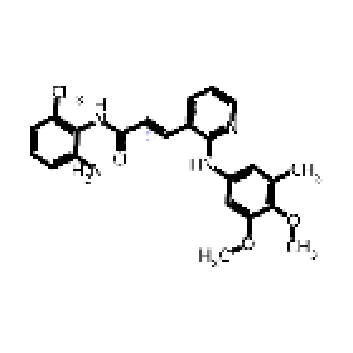 COc1cc(Nc2ncccc2/C=C/C(=O)Nc2c(C)cccc2N)cc(C)c1OC